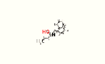 CCC[SiH](O)C=Cc1cccc2ccccc12